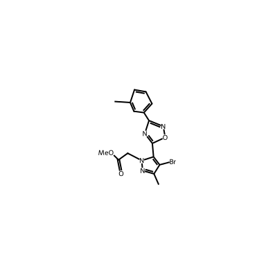 COC(=O)Cn1nc(C)c(Br)c1-c1nc(-c2cccc(C)c2)no1